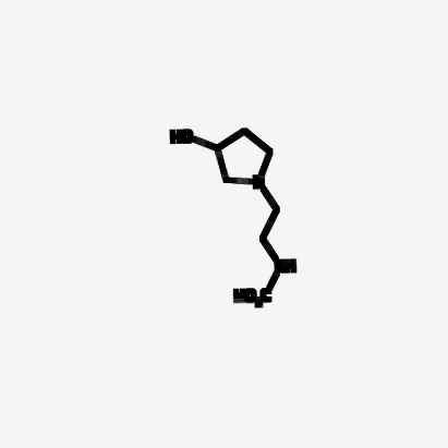 O=C(O)NCCN1CCC(O)C1